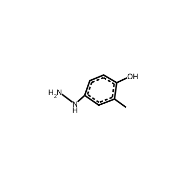 Cc1cc(NN)ccc1O